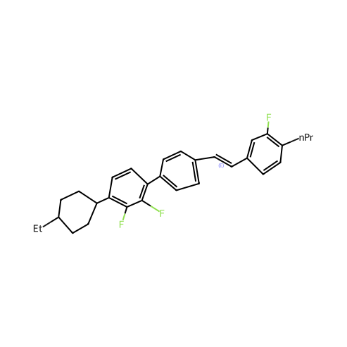 CCCc1ccc(/C=C/c2ccc(-c3ccc(C4CCC(CC)CC4)c(F)c3F)cc2)cc1F